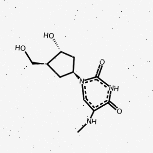 CNc1cn([C@H]2C[C@@H](CO)[C@H](O)C2)c(=O)[nH]c1=O